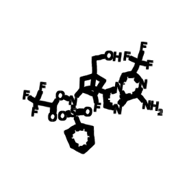 Nc1nc(C(F)(F)F)cn2c(C3C4(CO)CC(F)C3(N(OC(=O)C(F)(F)F)S(=O)(=O)c3ccccc3)C4)cnc12